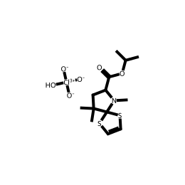 CC(C)OC(=O)C1CC(C)(C)C2(SC=CS2)N1C.[O-][Cl+3]([O-])([O-])O